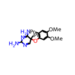 COc1cc(OC2(C(C)C)C=NC(N)N=C2N)c(C(C)C)cc1OC